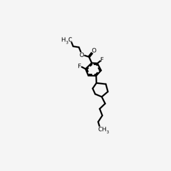 CCCCCC1CCC(c2cc(F)c(C(=O)OCCC)c(F)c2)CC1